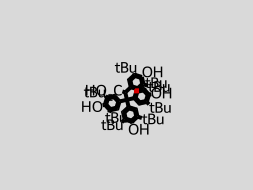 CC(C)(C)c1cc(C(C(=O)O)C(c2cc(C(C)(C)C)c(O)c(C(C)(C)C)c2)(c2cc(C(C)(C)C)c(O)c(C(C)(C)C)c2)c2cc(C(C)(C)C)c(O)c(C(C)(C)C)c2)cc(C(C)(C)C)c1O